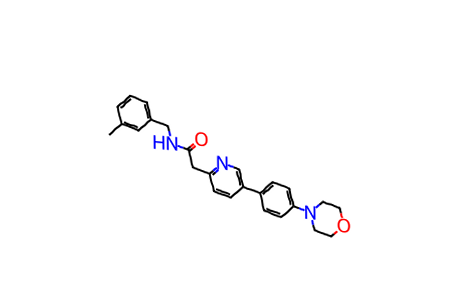 Cc1cccc(CNC(=O)Cc2ccc(-c3ccc(N4CCOCC4)cc3)cn2)c1